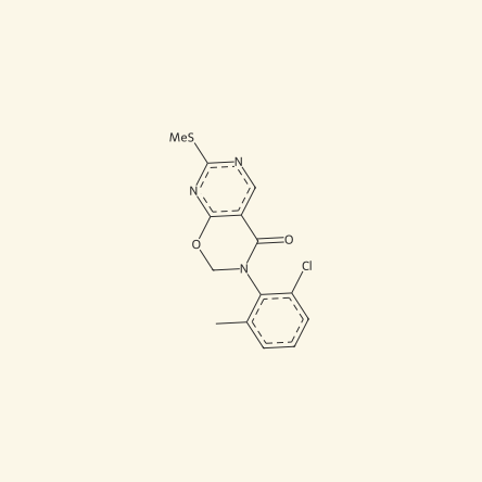 CSc1ncc2c(n1)OCN(c1c(C)cccc1Cl)C2=O